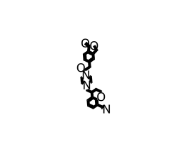 N#Cc1cccc2c1OCCC2CN1CCN(C(=O)Cc2ccc3c(c2)COC3=O)CC1